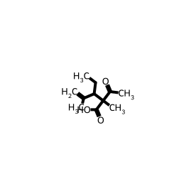 C=C(C)C(CC)C(C)(C(C)=O)C(=O)O